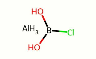 OB(O)Cl.[AlH3]